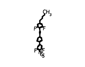 CCCCCc1cc(F)c(C#Cc2ccc(-c3cc(F)c(N=C=S)c(F)c3)cc2)c(F)c1